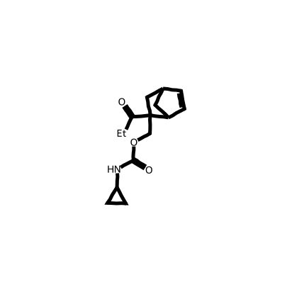 CCC(=O)C1(COC(=O)NC2CC2)CC2C=CC1C2